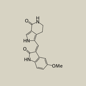 COc1ccc2c(c1)/C(=C/c1[nH]cc3c1CCNC3=O)C(=O)N2